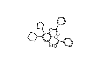 CCc1cc(C2CCCCC2)c(C2CCCC2)c(OC(=O)c2ccccc2)c1OC(=O)c1ccccc1